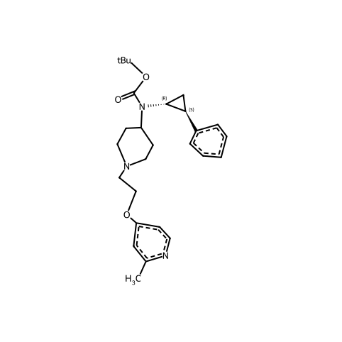 Cc1cc(OCCN2CCC(N(C(=O)OC(C)(C)C)[C@@H]3C[C@H]3c3ccccc3)CC2)ccn1